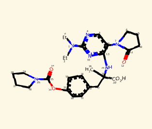 CCN(CC)c1ncc(N2CCCC2=O)c(NC(C)(Cc2ccc(OC(=O)N3CCCC3)cc2)C(=O)O)n1